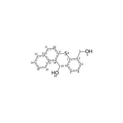 OCc1ccccc1Sc1ccc2ccccc2c1CO